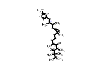 C/C(=C\c1csc(C)n1)C(N)CC1OC1(C)CCCC(C)C(O)C(C)C(=O)C(C)(C)C(C)O